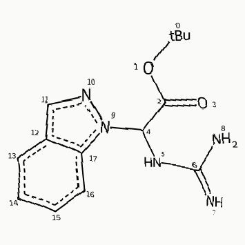 CC(C)(C)OC(=O)C(NC(=N)N)n1ncc2ccccc21